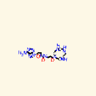 Nc1ncnc2c1ncn2[C@H]1CC[C@@H](C(=O)NCCC(=O)N2CCNCCNCCNCC2)O1